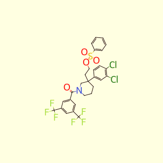 O=C(c1cc(C(F)(F)F)cc(C(F)(F)F)c1)N1CCCC(CCOS(=O)(=O)c2ccccc2)(c2ccc(Cl)c(Cl)c2)C1